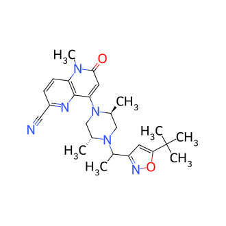 CC(c1cc(C(C)(C)C)on1)N1C[C@H](C)N(c2cc(=O)n(C)c3ccc(C#N)nc23)C[C@H]1C